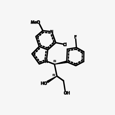 COc1cc2ccn([C@@H](c3cccc(F)c3)[C@H](O)CO)c2c(Cl)n1